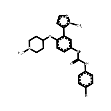 CN1CCC(Oc2ccc(NC(=O)Nc3ccc(Br)cc3)cc2-c2ccnn2C)CC1